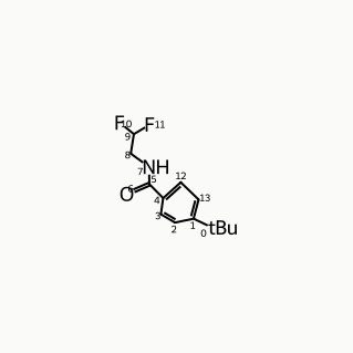 CC(C)(C)c1ccc(C(=O)NCC(F)F)cc1